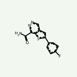 NC(=O)c1nncc2cc(-c3ccc(F)cc3)sc12